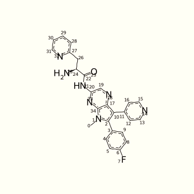 Cn1c(-c2ccc(F)cc2)c(-c2ccncc2)c2ncc(NC(=O)[C@@H](N)Cc3ccccn3)nc21